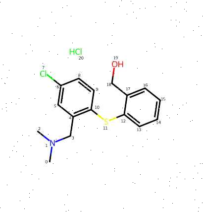 CN(C)Cc1cc(Cl)ccc1Sc1ccccc1CO.Cl